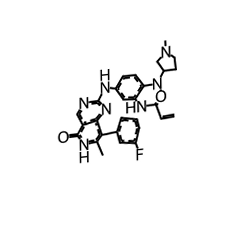 C=CC(=O)Nc1cc(Nc2ncc3c(=O)[nH]c(C)c(-c4cccc(F)c4)c3n2)ccc1N(C)C1CCN(C)C1